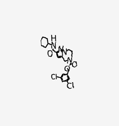 O=C(NC1CCCCC1)c1cc2n(n1)CCCN(C(=O)OCc1cc(Cl)cc(Cl)c1)C2